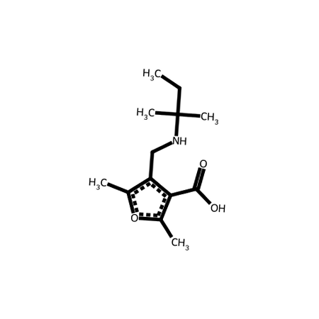 CCC(C)(C)NCc1c(C)oc(C)c1C(=O)O